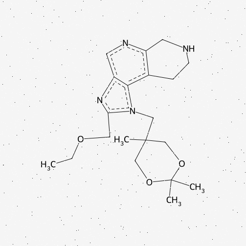 CCOCc1nc2cnc3c(c2n1CC1(C)COC(C)(C)OC1)CCNC3